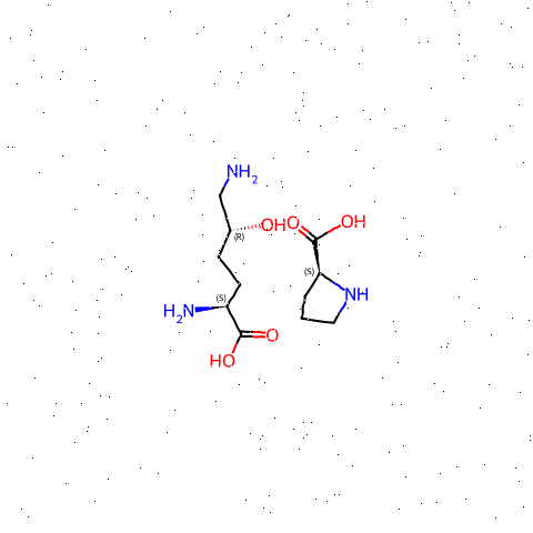 NC[C@H](O)CC[C@H](N)C(=O)O.O=C(O)[C@@H]1CCCN1